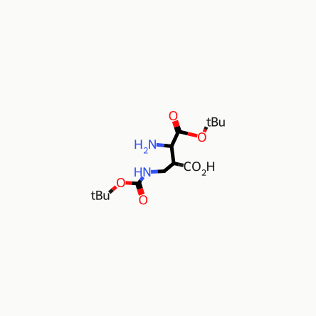 CC(C)(C)OC(=O)NCC(C(=O)O)C(N)C(=O)OC(C)(C)C